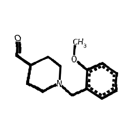 COc1ccccc1CN1CCC(C=O)CC1